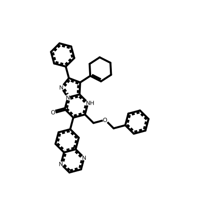 O=c1c(-c2ccc3nccnc3c2)c(COCc2ccccc2)[nH]c2c(C3=CCCCC3)c(-c3ccccc3)nn12